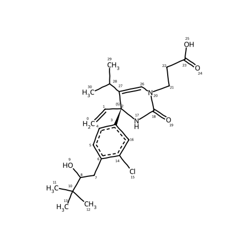 C=C[C@@]1(c2ccc(CC(O)C(C)(C)C)c(Cl)c2)NC(=O)N(CCC(=O)O)C=C1C(C)C